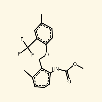 COC(=O)Nc1cccc(C)c1COc1ccc(C)cc1C(F)(F)F